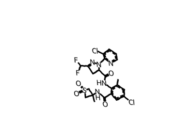 Cc1cc(Cl)cc(C(=O)NC2(C)CS(=O)(=O)C2)c1NC(=O)C1CC(C(F)F)=NN1c1ncccc1Cl